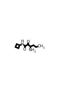 CCCC(N)C(=O)C(=O)NC1CCC1